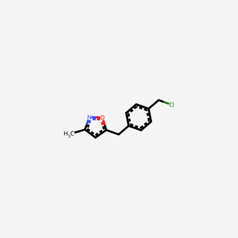 Cc1cc(Cc2ccc(CCl)cc2)on1